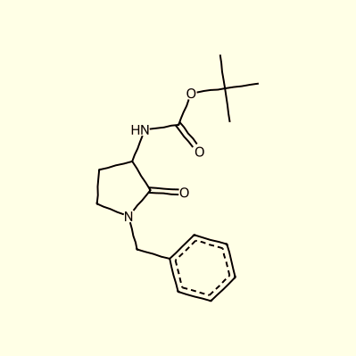 CC(C)(C)OC(=O)NC1CCN(Cc2ccccc2)C1=O